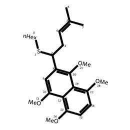 CCCCCCSC(CC=C(C)C)c1cc(OC)c2c(OC)ccc(OC)c2c1OC